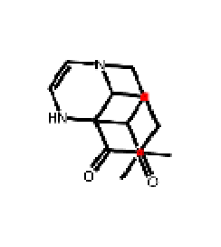 CN(C)C1CCN2C=CNC13C(=O)C(=O)CCC23